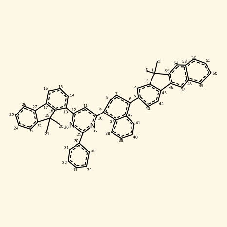 CC1(C)c2cc(-c3ccc(-c4cc(-c5cccc6c5C(C)(C)c5ccccc5-6)nc(-c5ccccc5)n4)c4ccccc34)ccc2-c2cc3ccccc3cc21